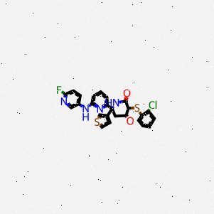 O=C1CC(c2ccsc2)(c2cccc(Nc3ccc(F)nc3)n2)NC(=O)C1Sc1ccccc1Cl